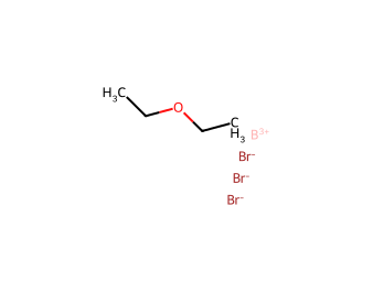 CCOCC.[B+3].[Br-].[Br-].[Br-]